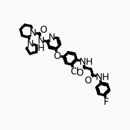 O=C(CC(=O)Nc1ccc(Oc2ccnc(NC(=O)N3CCCCC3N3CCCC3)c2)cc1Cl)Nc1ccc(F)cc1